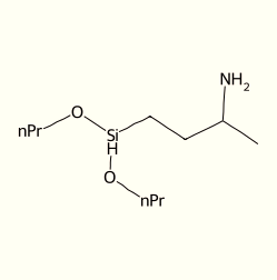 CCCO[SiH](CCC(C)N)OCCC